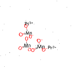 [O]=[Mn]([O-])[O-].[O]=[Mn]([O-])[O-].[O]=[Mn]([O-])[O-].[Pr+3].[Pr+3]